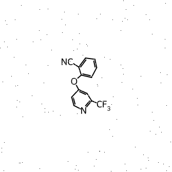 N#Cc1ccccc1Oc1ccnc(C(F)(F)F)c1